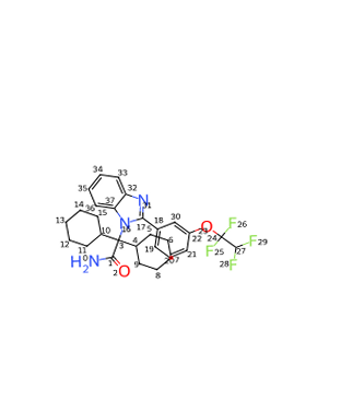 NC(=O)C(C1CCCCC1)(C1CCCCC1)n1c(-c2cccc(OC(F)(F)C(F)F)c2)nc2ccccc21